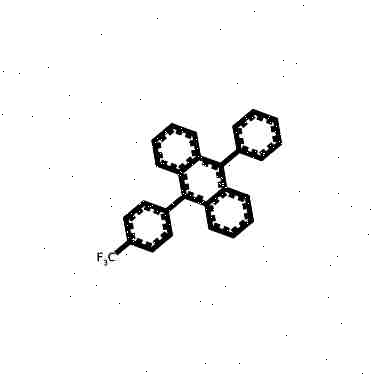 FC(F)(F)c1ccc(-c2c3ccccc3c(-c3ccccc3)c3ccccc23)cc1